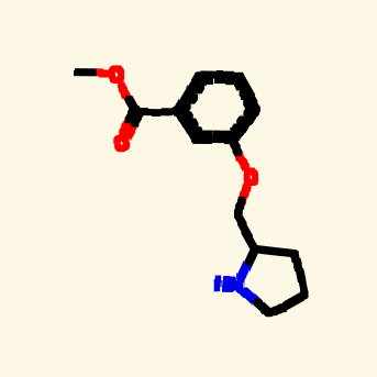 COC(=O)c1cccc(OCC2CCCN2)c1